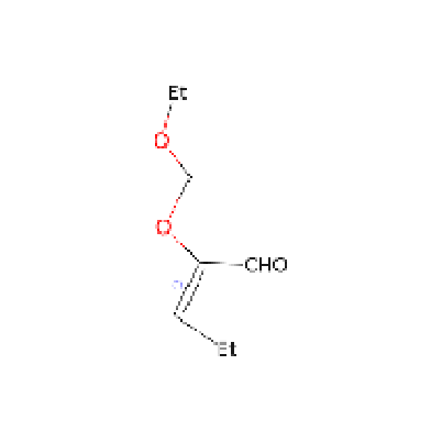 CC/C=C(\C=O)OCOCC